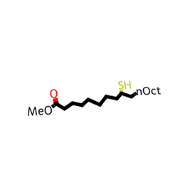 CCCCCCCCCC(S)CCCCCCCC(=O)OC